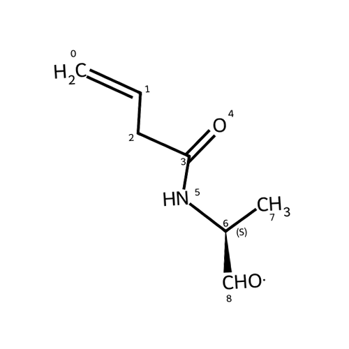 C=CCC(=O)N[C@@H](C)[C]=O